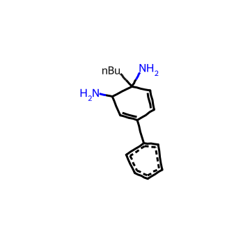 CCCCC1(N)C=CC(c2ccccc2)=CC1N